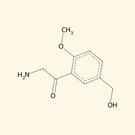 COc1ccc(CO)cc1C(=O)CN